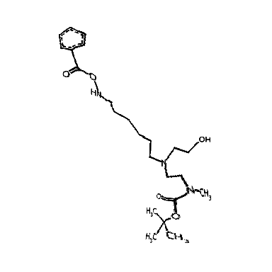 CN(CCN(CCO)CCCCCCNOC(=O)c1ccccc1)C(=O)OC(C)(C)C